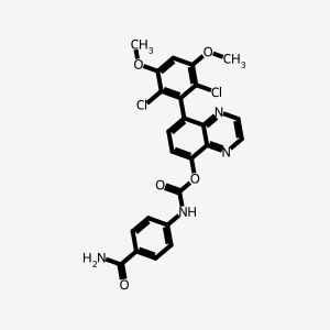 COc1cc(OC)c(Cl)c(-c2ccc(OC(=O)Nc3ccc(C(N)=O)cc3)c3nccnc23)c1Cl